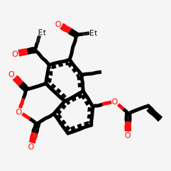 C=CC(=O)Oc1ccc2c3c(c(C(=O)CC)c(C(=O)CC)c(C)c13)C(=O)OC2=O